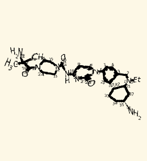 CCN(Cc1ccc(-n2ccc(NC(=O)N3CCN(C(=O)C(C)(C)N)CC3)nc2=O)cc1)C1CCC[C@@H](N)C1